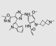 C=CC(=O)Nc1cc(Nc2ncc(-c3nnc(C)o3)c(-c3cn(C)c4ccccc34)n2)c(OC)cc1N(C)C1CC2(C1)CN(C)C2